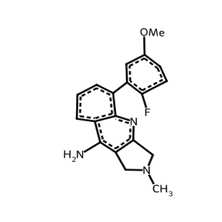 COc1ccc(F)c(-c2cccc3c(N)c4c(nc23)CN(C)C4)c1